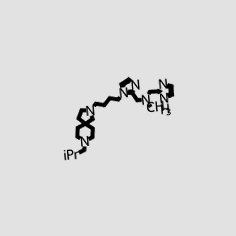 CC(C)CN1CCC2(CC1)CCN(CCCCn1ccnc1CN(C)Cc1ncc[nH]1)C2